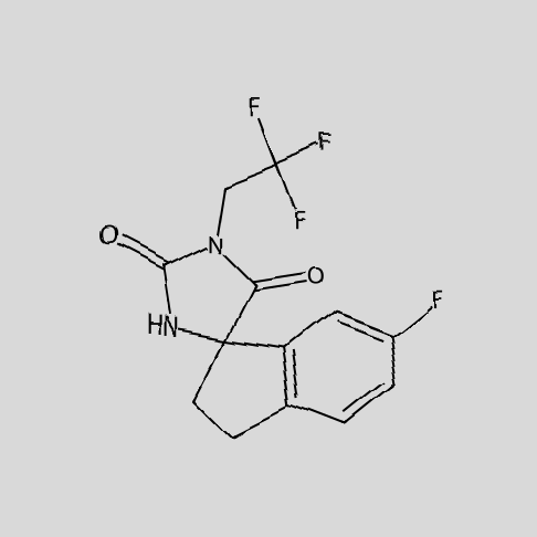 O=C1NC2(CCc3ccc(F)cc32)C(=O)N1CC(F)(F)F